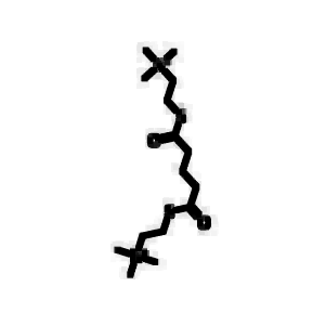 C[N+](C)(C)CCSC(=O)CCCC(=O)SCC[N+](C)(C)C